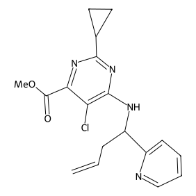 C=CCC(Nc1nc(C2CC2)nc(C(=O)OC)c1Cl)c1ccccn1